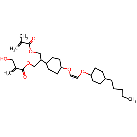 C=C(C)C(=O)OCC(COC(=O)C(=C)CO)C1CCC(O/C=C\OC2CCC(CCCCC)CC2)CC1